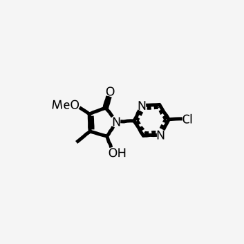 COC1=C(C)C(O)N(c2cnc(Cl)cn2)C1=O